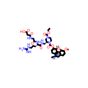 CCOC(=O)N1CCN(C(=O)OC2=CC[C@H]3[C@H]4Cc5ccc(OC)c6c5[C@@]3(CCN4C)[C@H]2O6)[C@@H](CNC(=O)[C@H](CCCNC(=N)N)NC(=O)CNC(=O)CC(=O)O)C1